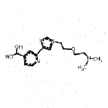 CN(C)CCOCCn1cnc(-c2cc(C(O)O)ccn2)c1